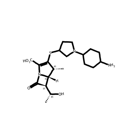 C[C@@H](O)[C@H]1C(=O)N2C(C(=O)O)=C(SC3CCN(C4CCC(N)CC4)C3)[C@H](C)[C@H]12